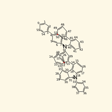 c1ccc(-c2ccc(N(c3cccc(-c4cccc5c4c4c(-c6ccccc6)cccc4n5-c4ccccc4)c3)c3ccccc3-c3ccccc3)cc2)cc1